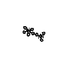 c1ccc(-c2cc(-c3ccc(-c4ccc(-c5c(-c6ccccc6)n6nc(-c7ccccc7)c(-c7ccccc7)c6c6ccccc56)cc4)cc3)nc(-c3ccccc3)n2)cc1